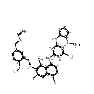 CCOc1ccc(COC=N)cc1N=Nc1c(C)cc2c(C)ccc(Nc3nc(O)nc(Nc4sccc4OC=O)n3)c2c1O